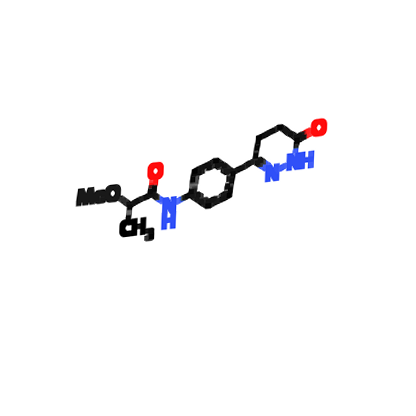 COC(C)C(=O)Nc1ccc(C2=NNC(=O)CC2)cc1